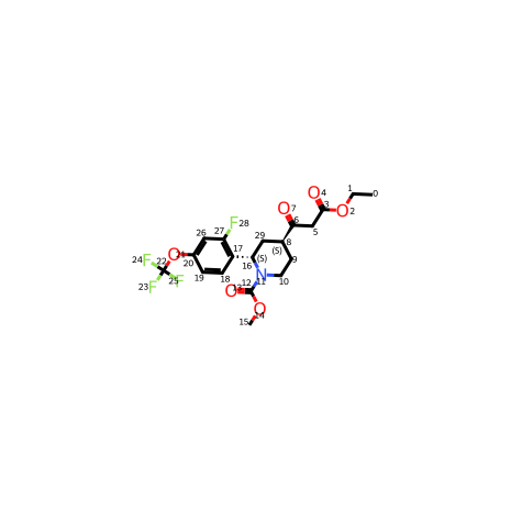 CCOC(=O)CC(=O)[C@H]1CCN(C(=O)OC)[C@H](c2ccc(OC(F)(F)F)cc2F)C1